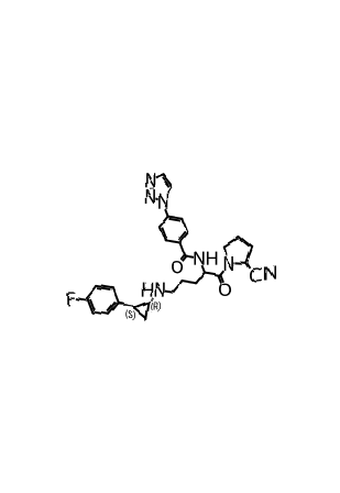 N#CC1CCCN1C(=O)C(CCCN[C@@H]1C[C@H]1c1ccc(F)cc1)NC(=O)c1ccc(-n2ccnn2)cc1